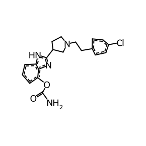 NC(=O)Oc1cccc2[nH]c(C3CCN(CCc4ccc(Cl)cc4)C3)nc12